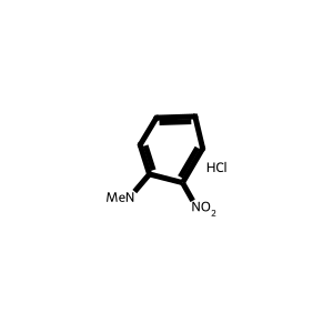 CNc1ccccc1[N+](=O)[O-].Cl